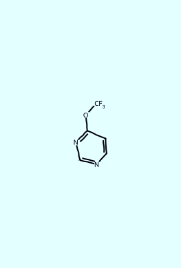 FC(F)(F)Oc1ccn[c]n1